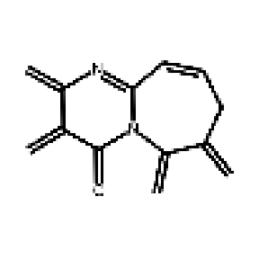 C=C1CC=Cc2nc(=C)c(=C)c(=O)n2C1=C